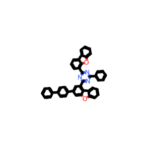 c1ccc(-c2ccc(-c3cc(-c4nc(-c5ccccc5)nc(-c5cccc6c5oc5ccccc56)n4)c4c(c3)oc3ccccc34)cc2)cc1